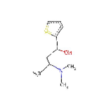 BC(CC(O)c1cccs1)N(C)C